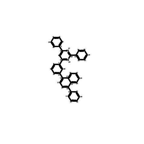 c1ccc(-c2cc(-c3cccc(-c4ccc(-c5ccccc5)c5ccccc45)c3)nc(-c3ccccc3)n2)cc1